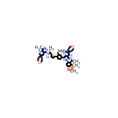 CNCc1cc(-c2nnc(N[C@H](C)c3cccc(S(C)(=O)=O)c3C)c3cc(N4C5CCC4COC5)cnc23)ccc1-c1ccc([C@@H](C)Nc2nnc(C)c3ncc(N4C5CCC4COC5)cc23)s1